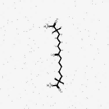 CC(C)(CCCCCC(=O)CCCCCC(C)(C)C(N)=O)C(N)=O